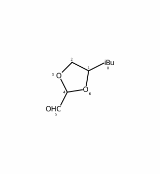 CCC(C)C1COC(C=O)O1